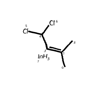 CC(C)=C[C](Cl)Cl.[InH3]